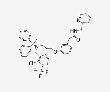 CC(c1ccccc1)(c1ccccc1)N(CCCOc1cccc(CC(=O)NCc2ccccn2)c1)Cc1cccc(C(F)(F)F)c1Cl